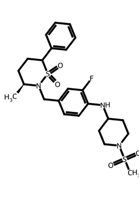 C[C@H]1CCC(c2ccccc2)S(=O)(=O)N1Cc1ccc(NC2CCN(S(C)(=O)=O)CC2)c(F)c1